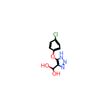 OC(O)c1nn[nH]c1Oc1ccc(Cl)cc1